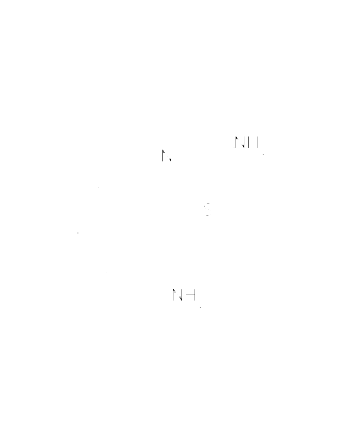 Nc1nc2cccc(N)c2s1